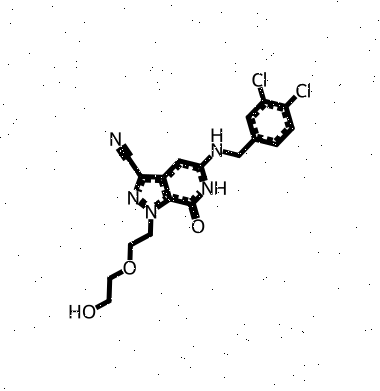 N#Cc1nn(CCOCCO)c2c(=O)[nH]c(NCc3ccc(Cl)c(Cl)c3)cc12